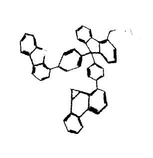 CCc1cccc2c1-c1ccccc1C2(c1ccc(-c2cccc3c2C2CC2c2ccccc2-3)cc1)c1ccc(-c2cccc3c2sc2ccccc23)cc1